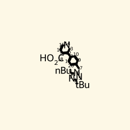 CCCCc1nc(C(C)(C)C)nn1Cc1ccc(-c2cnccc2C(=O)O)cc1